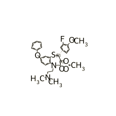 COc1ccc([C@H]2Sc3cc(Oc4ccccc4)ccc3N(CCN(C)C)C(=O)[C@H]2OC(C)=O)cc1F